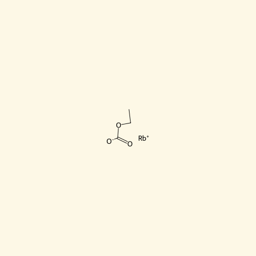 CCOC(=O)[O-].[Rb+]